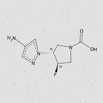 Nc1cnn([C@@H]2CN(C(=O)O)C[C@H]2F)c1